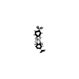 C=C(C)[C@@H]1CC[C@]2(C)O[P@](=S)(Oc3ccc([N+](=O)[O-])cc3)S[C@@H]2C1